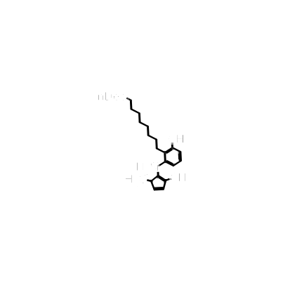 CCCCCCCCCCCCCCCCCCc1c(C)cccc1[SiH2]C1=C(C)C=CC1C